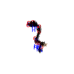 Cc1cnc(NC(=O)Nc2cc(Br)c(C)cc2OC[C@@H]2CN(C(=O)CCCCCCOc3ccc(C(=O)NCC(C)(C)[C@H]4Nc5ccc([N+](=O)[O-])cc5[C@H]5OCC[C@H]54)cc3)CCO2)cn1